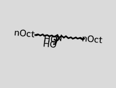 CCCCCCCCC=CCCCCCCCCN(CCCCCCCCC=CCCCCCCCC)CC(O)CO